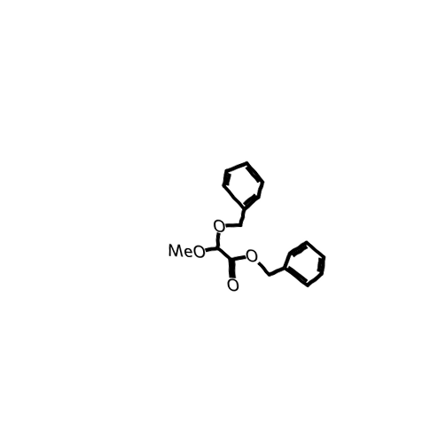 COC(OCc1ccccc1)C(=O)OCc1ccccc1